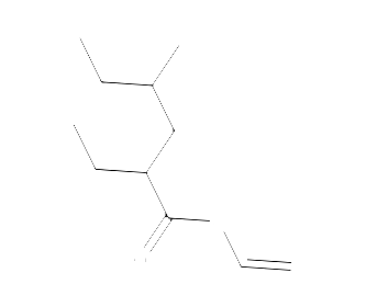 C=COC(=O)C(CC)CC(C)CC